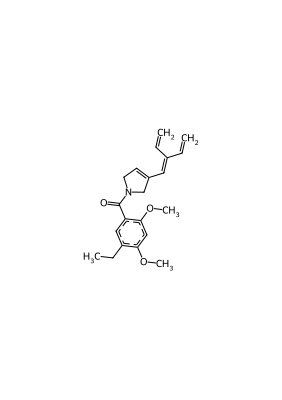 C=CC(C=C)=CC1=CCN(C(=O)c2cc(CC)c(OC)cc2OC)C1